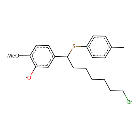 COc1ccc(C(CCCCCCBr)Sc2ccc(C)cc2)cc1[O]